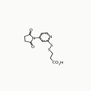 O=C(O)CCSSc1cc(N2C(=O)CCC2=O)ccn1